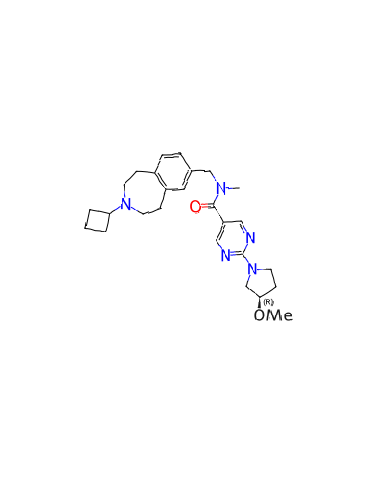 CO[C@@H]1CCN(c2ncc(C(=O)N(C)Cc3ccc4c(c3)CCN(C3CCC3)CC4)cn2)C1